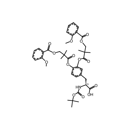 COc1ccccc1C(=O)OCC(C)(C)C(=O)Oc1ccc(C[C@H](NC(=O)OC(C)(C)C)C(=O)O)cc1OC(=O)C(C)(C)COC(=O)c1ccccc1OC